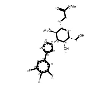 CNC(=O)CS[C@@H]1O[C@H](CO)[C@H](O)[C@H](n2cc(-c3cc(F)c(F)c(F)c3)nn2)[C@H]1OC